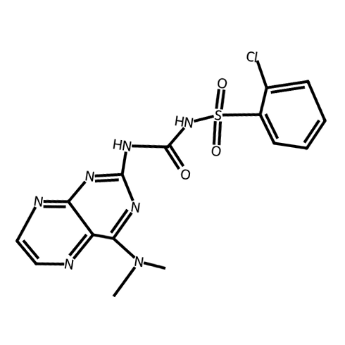 CN(C)c1nc(NC(=O)NS(=O)(=O)c2ccccc2Cl)nc2nccnc12